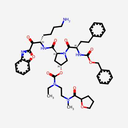 CCN(CCN(C)C(=O)C1CCCO1)C(=O)O[C@@H]1C[C@@H](C(=O)N[C@@H](CCCCN)C(=O)c2nc3ccccc3o2)N(C(=O)[C@@H](CCc2ccccc2)NC(=O)OCc2ccccc2)C1